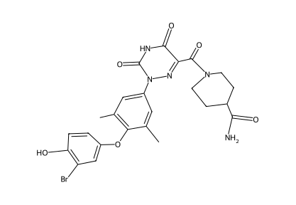 Cc1cc(-n2nc(C(=O)N3CCC(C(N)=O)CC3)c(=O)[nH]c2=O)cc(C)c1Oc1ccc(O)c(Br)c1